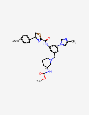 COc1ccc(-c2csc(C(=O)Nc3cc(CN4CCC[C@H](NC(=O)OC(C)(C)C)C4)cc(-n4cnc(C)c4)c3)n2)cc1